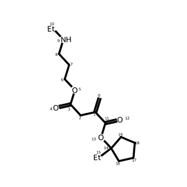 C=C(CC(=O)OCCCNCC)C(=O)OC1(CC)CCCC1